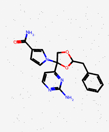 NC(=O)c1ccn(C2(c3ccnc(N)n3)COC(Cc3ccccc3)O2)c1